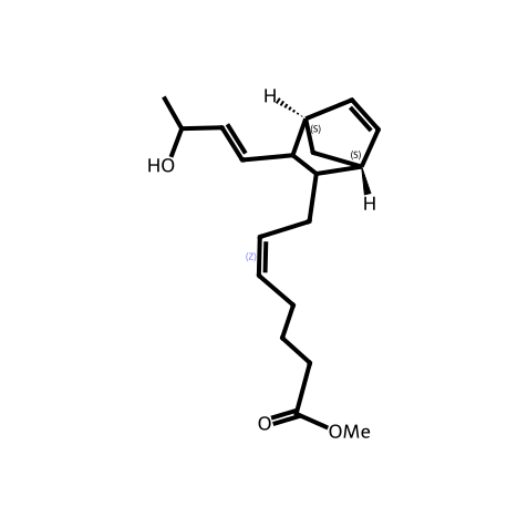 COC(=O)CCC/C=C\CC1C(C=CC(C)O)[C@H]2C=C[C@H]1C2